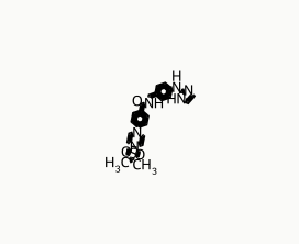 CC(C)S(=O)(=O)N1CCN(c2ccc(C(=O)NCc3ccc(NC4=NCCN4)cc3)cc2)CC1